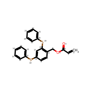 C=CC(=O)OCc1ccc(Sc2ccccc2)cc1Sc1ccccc1